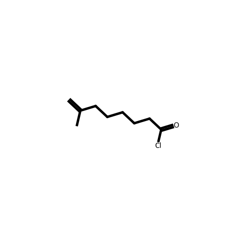 C=C(C)CCCCCC(=O)Cl